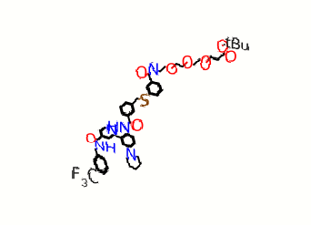 CN(CCOCCOCCOCCC(=O)OC(C)(C)C)C(=O)c1cccc(SCc2cccc(C(=O)Nc3ccc(N4CCCCC4)cc3-c3cc(C(=O)NCc4cccc(C(F)(F)F)c4)ccn3)c2)c1